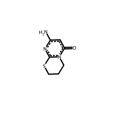 Nc1cc(=O)n2c(n1)SCCC2